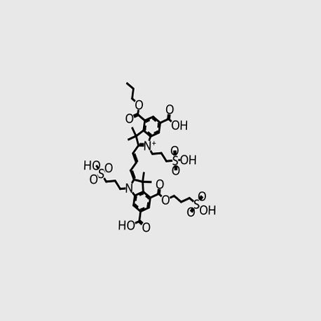 CCCOC(=O)c1cc(C(=O)O)cc2c1C(C)(C)C(/C=C/C=C1/N(CCCS(=O)(=O)O)c3cc(C(=O)O)cc(C(=O)OCCCS(=O)(=O)O)c3C1(C)C)=[N+]2CCCS(=O)(=O)O